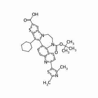 Cc1nc(C)c(-c2ccc3c4c(ccc3n2)-c2c(C3CCCCC3)c3sc(C(=O)O)cc3n2CCN4C(=O)OC(C)(C)C)s1